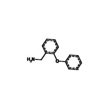 NCc1ccccc1Oc1c[c]ccc1